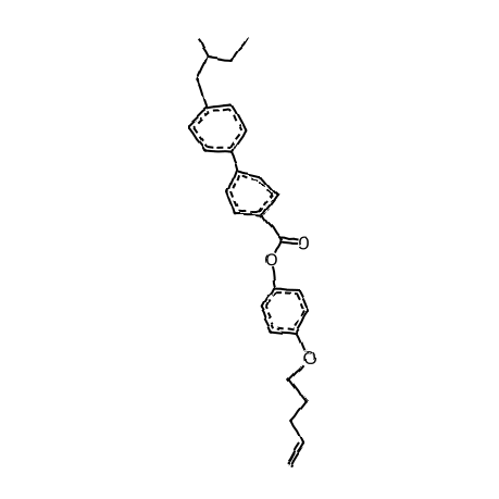 C=CCCCOc1ccc(OC(=O)c2ccc(-c3ccc(CC(C)CC)cc3)cc2)cc1